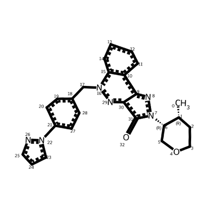 C[C@@H]1CCOC[C@@H]1n1nc2c3ccccc3n(Cc3ccc(-n4cccn4)cc3)nc-2c1=O